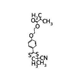 C=C(C)C(=O)OCCOc1ccc(C(=S)SC(C)(C)C#N)cc1